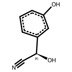 N#C[C@H](O)c1cccc(O)c1